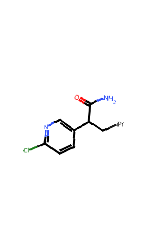 CC(C)CC(C(N)=O)c1ccc(Cl)nc1